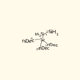 CCCCCCCCCC[Si](CCCCCCCCCC)(CCCCCCCCCC)[SiH2][SiH3]